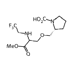 COC(=O)C(COC[C@H]1CCCN1C(=O)O)NCC(F)(F)F